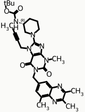 CC#CCn1c(N2CCC[C@@H](NC(=O)OC(C)(C)C)C2)nc2c1c(=O)n(Cc1cc(C)c3nc(C)c(C)nc3c1)c(=O)n2C